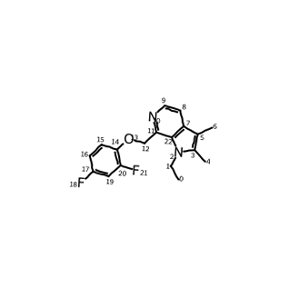 CCn1c(C)c(C)c2ccnc(COc3ccc(F)cc3F)c21